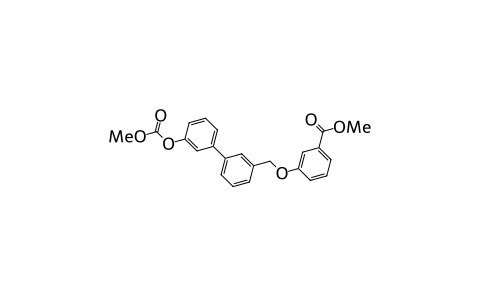 COC(=O)Oc1cccc(-c2cccc(COc3cccc(C(=O)OC)c3)c2)c1